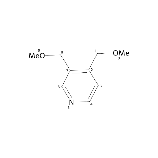 COCc1ccncc1COC